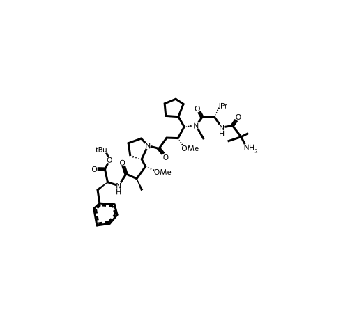 CO[C@H]([C@@H](C)C(=O)N[C@@H](Cc1ccccc1)C(=O)OC(C)(C)C)[C@@H]1CCCN1C(=O)C[C@@H](OC)[C@H](C1CCCC1)N(C)C(=O)[C@@H](NC(=O)C(C)(C)N)C(C)C